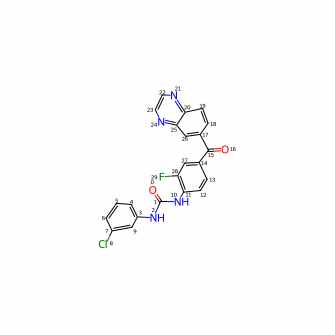 O=C(Nc1cccc(Cl)c1)Nc1ccc(C(=O)c2ccc3nccnc3c2)cc1F